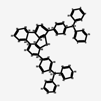 c1ccc(N(c2ccccc2)c2ccc(-c3ccc4c5ccccc5c5ccc(-c6ccc(N(c7ccccc7)c7ccccc7)cc6)c6sc3c4c65)cc2)cc1